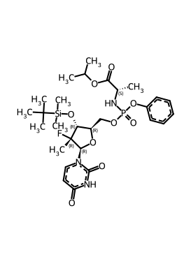 CC(C)OC(=O)[C@H](C)NP(=O)(OC[C@H]1O[C@@H](n2ccc(=O)[nH]c2=O)[C@](C)(F)[C@@H]1O[Si](C)(C)C(C)(C)C)Oc1ccccc1